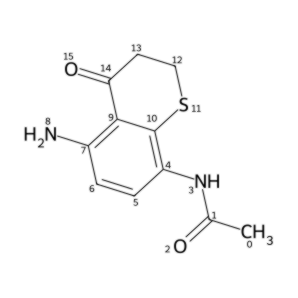 CC(=O)Nc1ccc(N)c2c1SCCC2=O